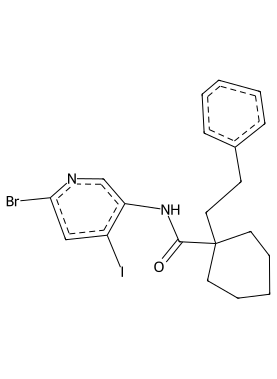 O=C(Nc1cnc(Br)cc1I)C1(CCc2ccccc2)CCCCC1